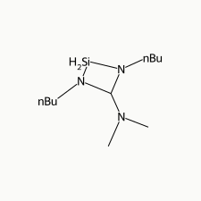 CCCCN1[SiH2]N(CCCC)C1N(C)C